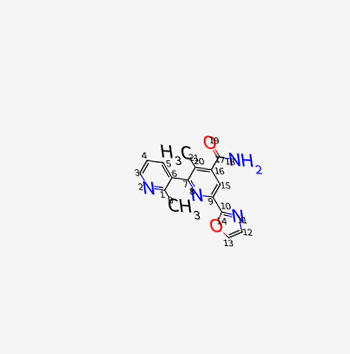 Cc1ncccc1-c1nc(-c2ncco2)cc(C(N)=O)c1C